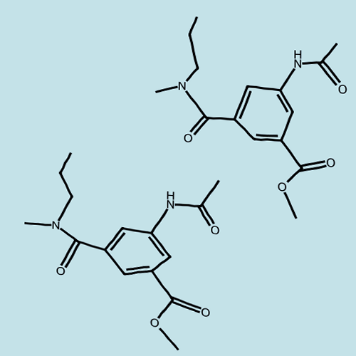 CCCN(C)C(=O)c1cc(NC(C)=O)cc(C(=O)OC)c1.CCCN(C)C(=O)c1cc(NC(C)=O)cc(C(=O)OC)c1